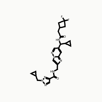 O=C(CC1CC(F)(F)C1)NC(c1cnn2cc(CNC(=O)c3cnn(CC4CC4)n3)nc2c1)C1CC1